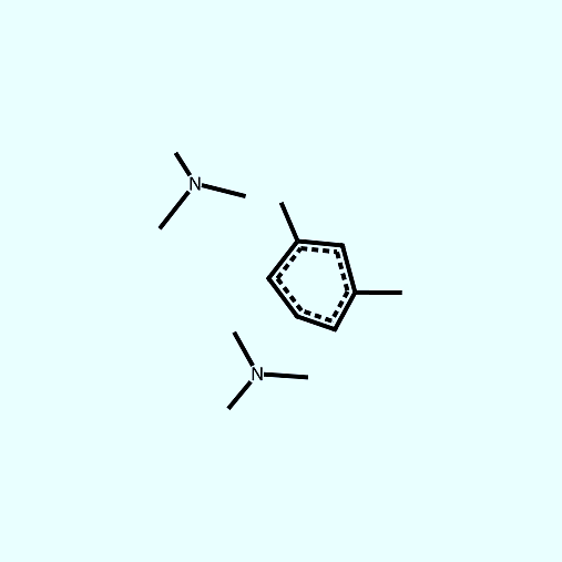 CN(C)C.CN(C)C.Cc1cccc(C)c1